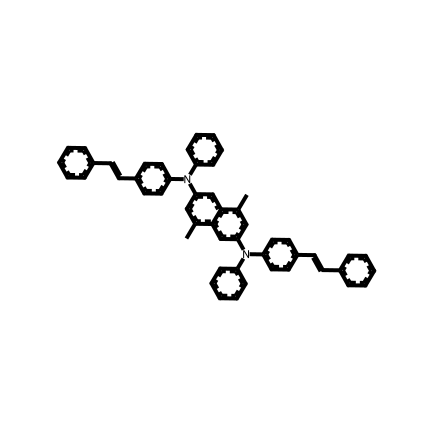 Cc1cc(N(c2ccccc2)c2ccc(/C=C/c3ccccc3)cc2)cc2c(C)cc(N(c3ccccc3)c3ccc(/C=C/c4ccccc4)cc3)cc12